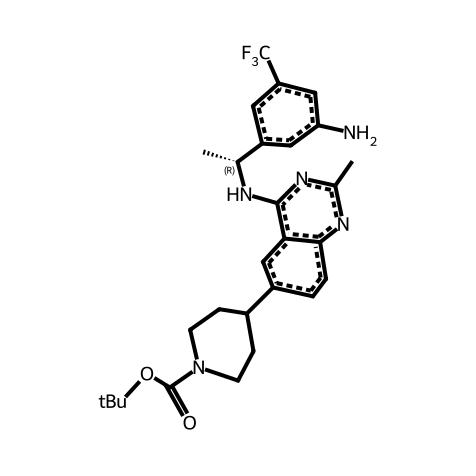 Cc1nc(N[C@H](C)c2cc(N)cc(C(F)(F)F)c2)c2cc(C3CCN(C(=O)OC(C)(C)C)CC3)ccc2n1